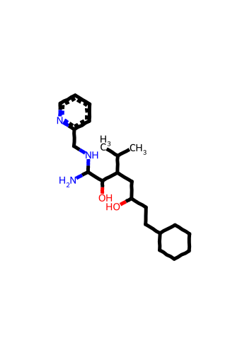 CC(C)C(CC(O)CCC1CCCCC1)C(O)C(N)NCc1ccccn1